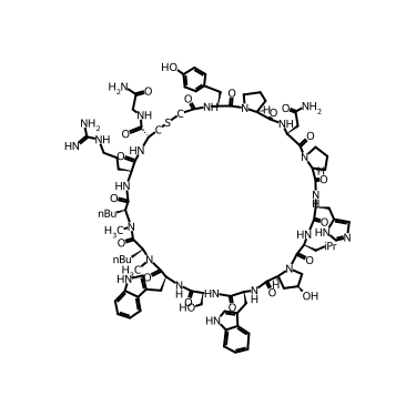 CCCC[C@H]1C(=O)N(C)[C@@H](CCCC)C(=O)N[C@@H](CCCNC(=N)N)C(=O)N[C@H](C(=O)NCC(N)=O)CSCC(=O)N[C@@H](Cc2ccc(O)cc2)C(=O)N2CCC[C@H]2C(=O)N[C@@H](CC(N)=O)C(=O)N2CCC[C@H]2C(=O)N[C@@H](Cc2cnc[nH]2)C(=O)N[C@@H](CC(C)C)C(=O)N2C[C@@H](O)C[C@H]2C(=O)N[C@@H](Cc2c[nH]c3ccccc23)C(=O)N[C@@H](CO)C(=O)N[C@@H](Cc2c[nH]c3ccccc23)C(=O)N1C